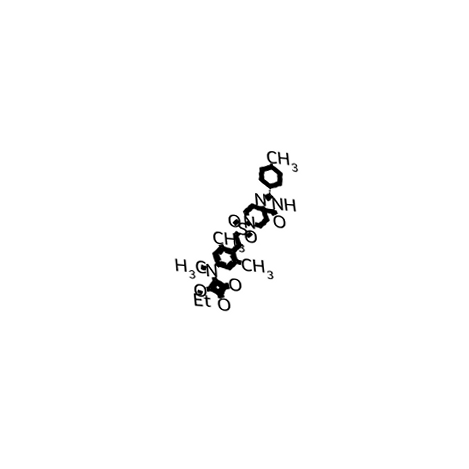 CCOc1c(N(C)c2cc(C)c(CCS(=O)(=O)N3CCC4(CC3)N=C([C@H]3CC[C@H](C)CC3)NC4=O)c(C)c2)c(=O)c1=O